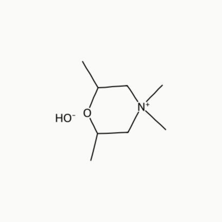 CC1C[N+](C)(C)CC(C)O1.[OH-]